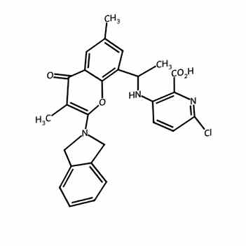 Cc1cc(C(C)Nc2ccc(Cl)nc2C(=O)O)c2oc(N3Cc4ccccc4C3)c(C)c(=O)c2c1